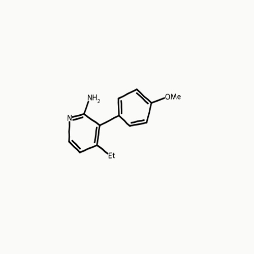 CCc1ccnc(N)c1-c1ccc(OC)cc1